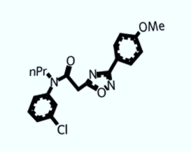 CCCN(C(=O)Cc1nc(-c2ccc(OC)cc2)no1)c1cccc(Cl)c1